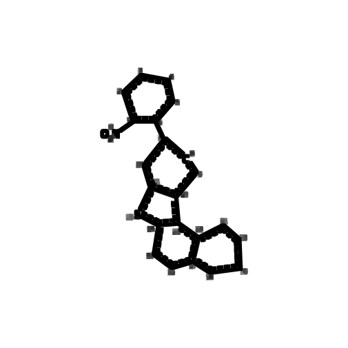 O=[N+]([O-])c1ccccc1-c1ccc2c(c1)sc1ccc3ccccc3c12